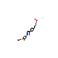 C=CCOc1ccc(-c2ncc(-c3ccc(/C=C/CCCC(C)OCCCCC)cc3)cn2)cc1F